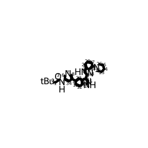 CC(C)(C)CC(=O)Nc1cncc(-c2ccc3[nH]nc(-c4nc5c(N6CCCCC6)cccc5[nH]4)c3c2)c1